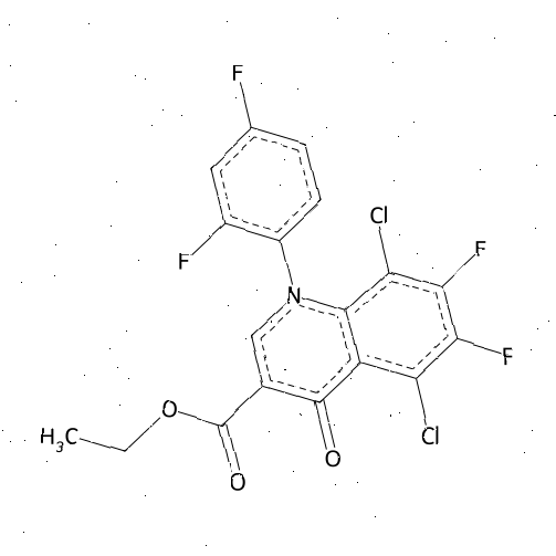 CCOC(=O)c1cn(-c2ccc(F)cc2F)c2c(Cl)c(F)c(F)c(Cl)c2c1=O